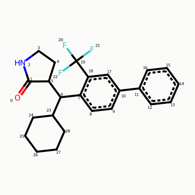 O=C1NCCC1C(c1ccc(-c2ccccc2)cc1C(F)(F)F)C1CCCCC1